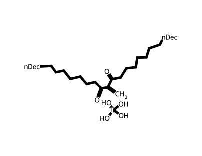 C=C(C(=O)CCCCCCCCCCCCCCCCC)C(=O)CCCCCCCCCCCCCCCCC.[OH][Ti]([OH])([OH])[OH]